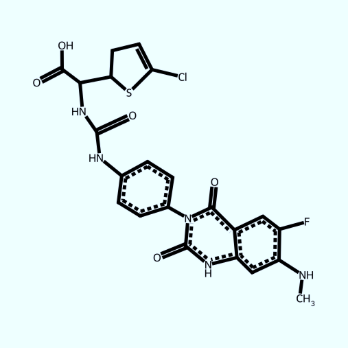 CNc1cc2[nH]c(=O)n(-c3ccc(NC(=O)NC(C(=O)O)C4CC=C(Cl)S4)cc3)c(=O)c2cc1F